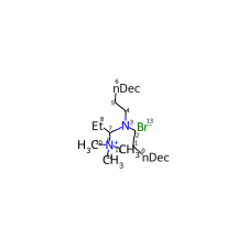 CCCCCCCCCCCCN(CCCCCCCCCCCC)C(CC)[N+](C)(C)C.[Br-]